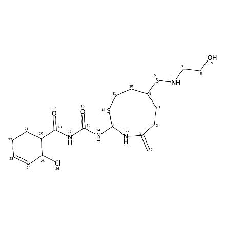 C=C1CCC(SNCCO)CCSC(NC(=O)NC(=O)C2CCC=CC2Cl)N1